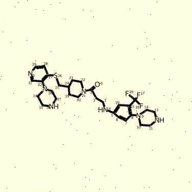 O=C(CCNc1ccc(N2CCNCC2)c(C(F)(F)F)c1)N1CCC(CSc2ccncc2N2CCNCC2)CC1